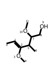 CC=C(OC)C(C)C(CO)OC